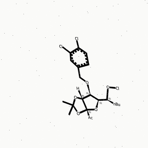 CCCC[C@H](OCl)[C@H]1O[C@]2(C(C)=O)OC(C)(C)O[C@@H]2[C@H]1OCc1ccc(Cl)c(Cl)c1